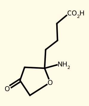 NC1(CCCC(=O)O)CC(=O)CO1